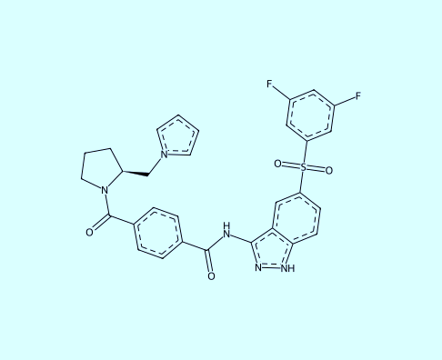 O=C(Nc1n[nH]c2ccc(S(=O)(=O)c3cc(F)cc(F)c3)cc12)c1ccc(C(=O)N2CCC[C@H]2Cn2cccc2)cc1